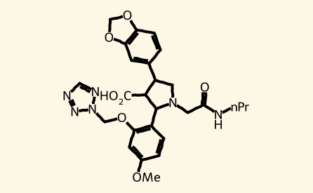 CCCNC(=O)CN1CC(c2ccc3c(c2)OCO3)C(C(=O)O)C1c1ccc(OC)cc1OCn1ncnn1